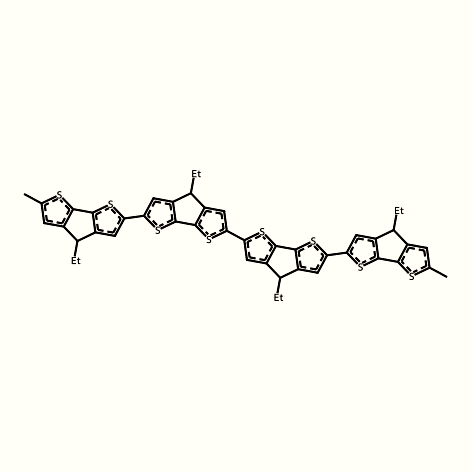 CCC1c2cc(C)sc2-c2sc(-c3cc4c(s3)-c3sc(-c5cc6c(s5)-c5sc(-c7cc8c(s7)-c7sc(C)cc7C8CC)cc5C6CC)cc3C4CC)cc21